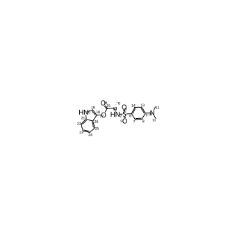 C[C@H](NS(=O)(=O)c1ccc(N(C)C)cc1)C(=O)Oc1c[nH]c2ccccc12